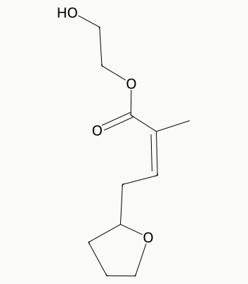 CC(=CCC1CCCO1)C(=O)OCCO